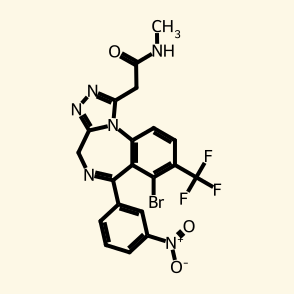 CNC(=O)Cc1nnc2n1-c1ccc(C(F)(F)F)c(Br)c1C(c1cccc([N+](=O)[O-])c1)=NC2